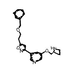 c1ccc(COCCc2cc(-c3cncc(OC[C@@H]4CCN4)c3)no2)cc1